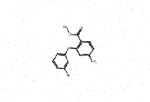 CC(C)(C)OC(=O)c1ccc([N+](=O)[O-])cc1Oc1cccc(Br)c1